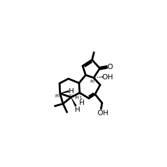 CC1=CC2C3CC[C@@H]4[C@H]([C@@H]3C=C(CO)C[C@]2(O)C1=O)C4(C)C